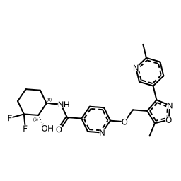 Cc1ccc(-c2noc(C)c2COc2ccc(C(=O)N[C@@H]3CCCC(F)(F)[C@H]3O)cn2)cn1